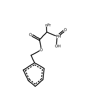 CCCC(C(=O)OCc1ccccc1)[PH](=O)O